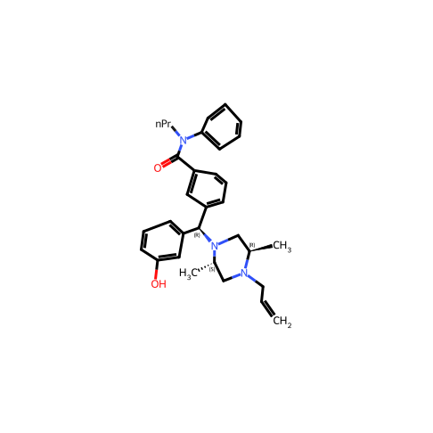 C=CCN1C[C@H](C)N([C@@H](c2cccc(O)c2)c2cccc(C(=O)N(CCC)c3ccccc3)c2)C[C@H]1C